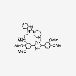 CCOCCn1c(N2CCCN(CCC(CN(C)C(=O)c3cc(OC)c(OC)c(OC)c3)c3ccc(OC)c(OC)c3)CC2)nc2ccccc21